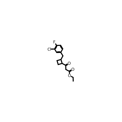 CCOC(=O)CC(=O)C1CCC1Cc1ccc(F)c(Cl)c1